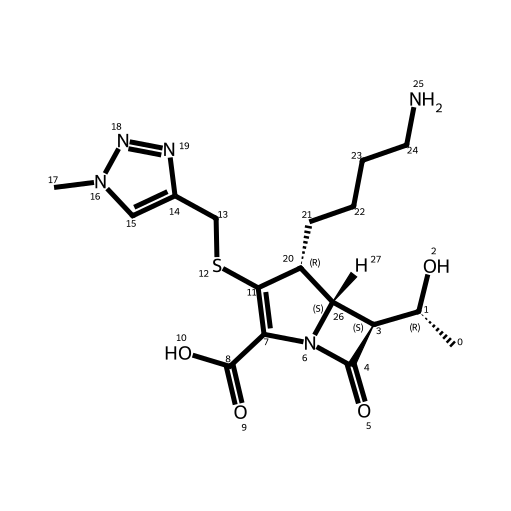 C[C@@H](O)[C@H]1C(=O)N2C(C(=O)O)=C(SCc3cn(C)nn3)[C@H](CCCCN)[C@H]12